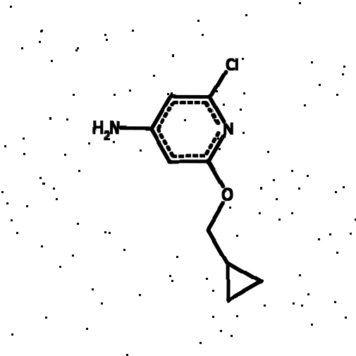 Nc1cc(Cl)nc(OCC2CC2)c1